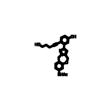 CC(=O)Nc1ccc2c(c1)OCc1cc(-c3cc(O)ccc3C#CCCCO)nn1C2